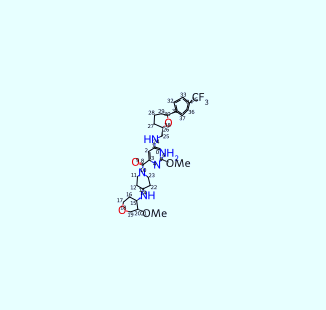 C=C(/C=C(\N=C(/N)OC)C(=O)N1CCC(N[C@@H]2CCOC[C@@H]2OC)CC1)NC[C@H]1CCC[C@@H](c2ccc(C(F)(F)F)cc2)O1